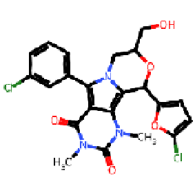 Cn1c(=O)c2c(-c3cccc(Cl)c3)n3c(c2n(C)c1=O)C(c1ccc(Cl)o1)OC(CO)C3